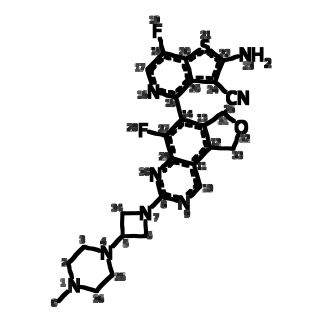 CN1CCN(C2CN(c3ncc4c5c(c(-c6ncc(F)c7sc(N)c(C#N)c67)c(F)c4n3)COC5)C2)CC1